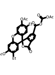 CCc1cc2c(cc1OC(C)=O)Oc1cc(OC(C)=O)c(CC)cc1C21OC(=O)c2ccc(C(=O)OC(=O)OC(C)=O)cc21